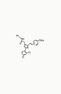 COc1ccc(C=Cc2nc(-c3ccc(Cl)cc3Cl)cn2CC(=O)NCC(C)C)cc1